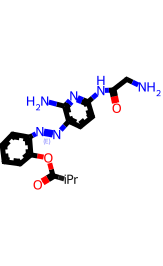 CC(C)C(=O)Oc1ccccc1/N=N/c1ccc(NC(=O)CN)nc1N